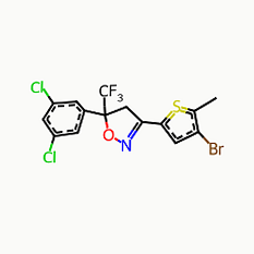 Cc1sc(C2=NOC(c3cc(Cl)cc(Cl)c3)(C(F)(F)F)C2)cc1Br